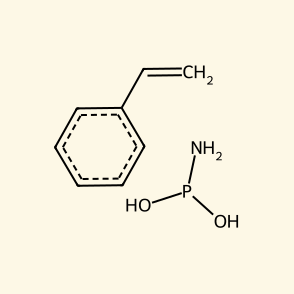 C=Cc1ccccc1.NP(O)O